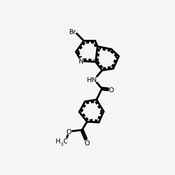 COC(=O)c1ccc(C(=O)Nc2cccc3cc(Br)cnc23)cc1